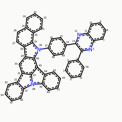 c1ccc(-c2nc3ccccc3nc2-c2ccc(-n3c4c5ccccc5ccc4c4cc5c6ccccc6n6c7ccccc7c(c43)c56)cc2)cc1